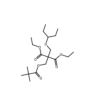 CCOC(=O)C(COC(=O)C(C)(C)C)(COC(CC)CC)C(=O)OCC